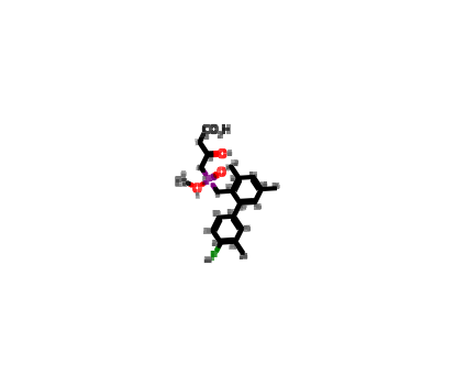 CCOP(=O)(CC(=O)CC(=O)O)Cc1c(C)cc(C)cc1-c1ccc(F)c(C)c1